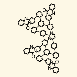 O=c1c2ccccc2nc2cc(-c3ccccc3-c3cc(-c4ccccc4-c4ccc(-c5ccnc(-c6ccc(-c7ccccc7-c7cc(-c8ccccc8-c8ccn9c(=O)c%10ccccc%10nc9c8)cc(-c8ccccc8-c8ccn9c(=O)c%10ccccc%10nc9c8)c7)cc6)n5)cc4)cc(-c4ccccc4-c4ccn5c(=O)c6ccccc6nc5c4)c3)ccn12